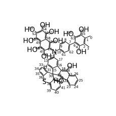 Cc1c(C)c(O)c(-c2ccc(N(c3ccc4c(c3)-c3c(c(O)c5ccccc5c3O)C43c4ccccc4Sc4ccccc43)c3c(O)c(O)c4c(O)c(O)c(O)c(O)c4c3O)cc2)c(O)c1O